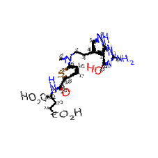 CN(CCc1c[nH]c2nc(N)nc(O)c12)c1ccc(C(=O)N[C@@H](CCC(=O)O)C(=O)O)s1